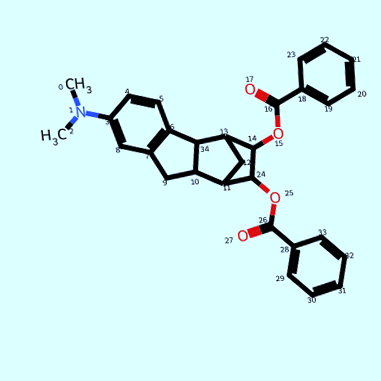 CN(C)c1ccc2c(c1)CC1C3CC(C(OC(=O)c4ccccc4)C3OC(=O)c3ccccc3)C21